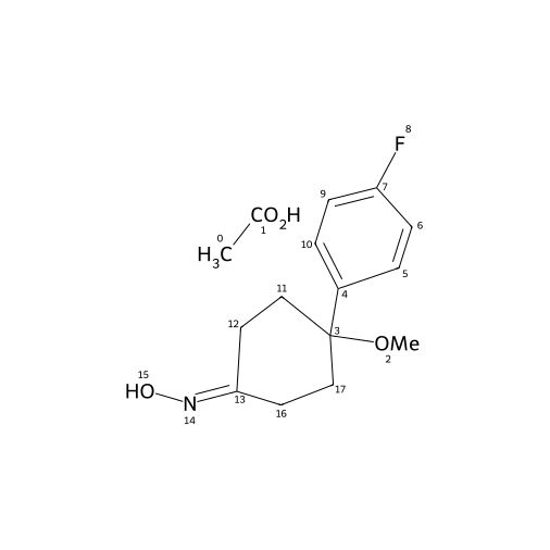 CC(=O)O.COC1(c2ccc(F)cc2)CCC(=NO)CC1